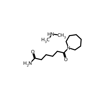 CNC.NC(=O)CCCCC(=O)N1CCCCCC1